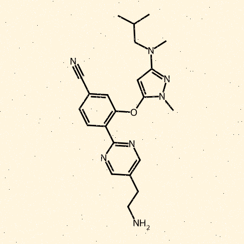 CC(C)CN(C)c1cc(Oc2cc(C#N)ccc2-c2ncc(CCN)cn2)n(C)n1